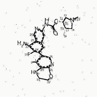 Cc1c(-c2cc3cc(NC(=O)O[C@@H]4CN(C)C[C@@H]4C)ncc3c(N)c2F)cnc2c1NCCO2